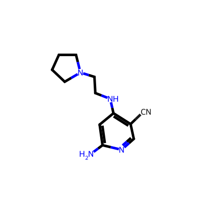 N#Cc1cnc(N)cc1NCCN1CCCC1